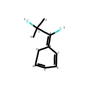 CC(C)(F)/C(F)=C1/C=CC=CC1